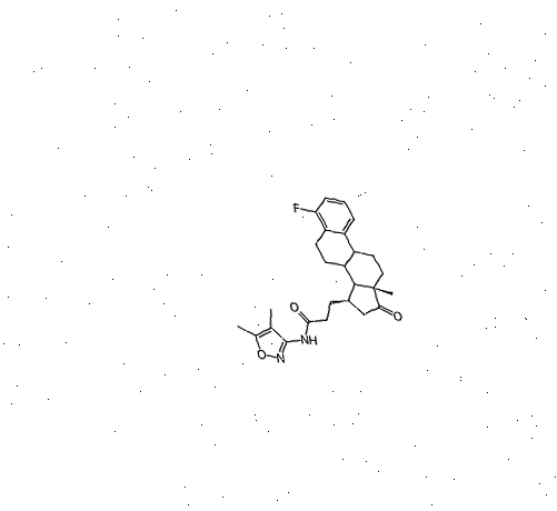 Cc1onc(NC(=O)CC[C@@H]2CC(=O)[C@@]3(C)CCC4c5cccc(F)c5CCC4C23)c1C